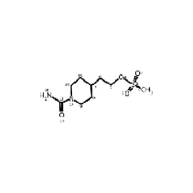 CS(=O)(=O)OCCC1CCN(C(N)=O)CC1